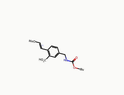 CO/C=C/c1ccc(CNC(=O)OC(C)(C)C)cc1C(=O)O